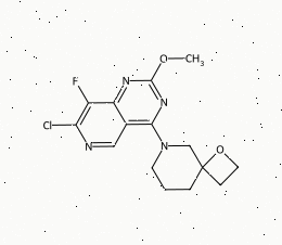 COc1nc(N2CCCC3(CCO3)C2)c2cnc(Cl)c(F)c2n1